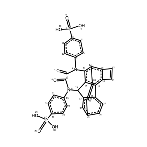 O=CN(c1ccc(P(=O)(O)O)cc1)c1c2c3c(c4c1C(N(C=O)c1ccc(P(=O)(O)O)cc1)c1cc(ccc1-4)C=C2)C=C3